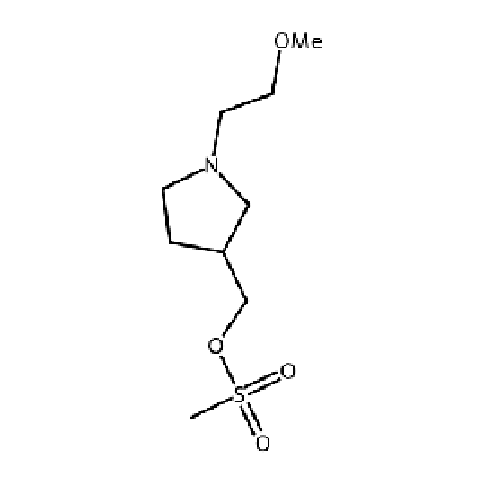 COCCN1CCC(COS(C)(=O)=O)C1